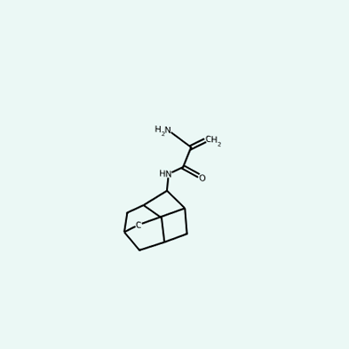 C=C(N)C(=O)NC1C2CC3CC(C2)CC1C3